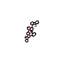 CC1(C)c2ccccc2-c2cc(-c3ccccc3N(c3ccc(-c4cccc5c4sc4ccccc45)cc3)c3ccccc3-c3ccccc3)ccc21